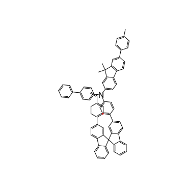 C=Cc1ccc(-c2ccc3c(c2)C2(c4ccccc4-3)c3ccccc3-c3ccc(-c4ccc(N(c5ccc(-c6ccccc6)cc5)c5ccc6c(c5)C(C)(C)c5cc(-c7ccc(C)cc7)ccc5-6)cc4)cc32)cc1